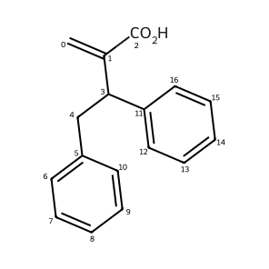 C=C(C(=O)O)C(Cc1ccccc1)c1ccccc1